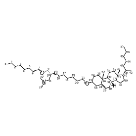 CCCCCCCCOC[C@@H](CN(C)C)OCCCCCCO[C@H]1CC[C@@]2(C)C(=CC[C@@H]3C2CC[C@@]2(C)C3CC[C@@H]2C(C)CCCCC)C1